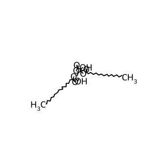 CCCCCCCCCCCCCCCC(=O)OC1=C(O)C(=O)O[C@@H]1[C@H](CO)OC(=O)CCCCCCCCCCCCCCC